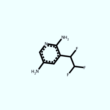 Nc1cnc(N)c(C(F)C(F)F)c1